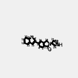 O=C1c2ccc(-c3cnc4ccccc4c3)cc2CN1c1cn[nH]c1